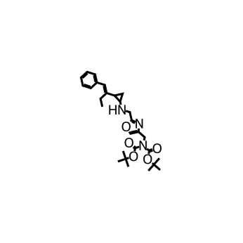 CC/C(=C\c1ccccc1)C1CC1NCc1nc(CN(C(=O)OC(C)(C)C)C(=O)OC(C)(C)C)co1